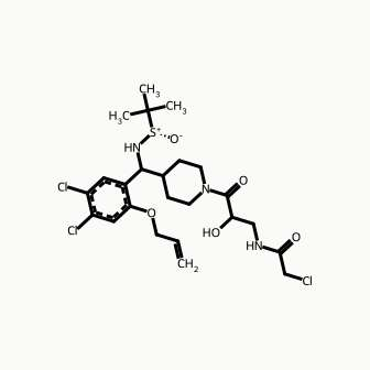 C=CCOc1cc(Cl)c(Cl)cc1C(N[S@@+]([O-])C(C)(C)C)C1CCN(C(=O)C(O)CNC(=O)CCl)CC1